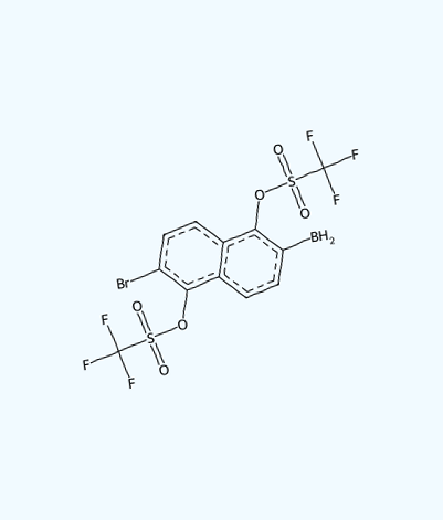 Bc1ccc2c(OS(=O)(=O)C(F)(F)F)c(Br)ccc2c1OS(=O)(=O)C(F)(F)F